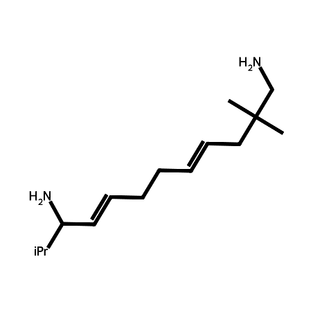 CC(C)C(N)C=CCCC=CCC(C)(C)CN